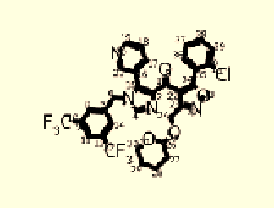 O=C(c1ncn(Cc2cc(C(F)(F)F)cc(C(F)(F)F)c2)c1-c1cccnc1)c1c(COC2CCCCO2)noc1-c1ccccc1Cl